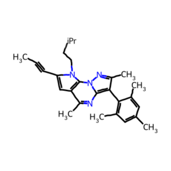 CC#Cc1cc2c(C)nc3c(-c4c(C)cc(C)cc4C)c(C)nn3c2n1CCC(C)C